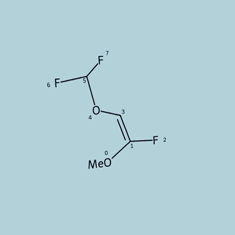 CO/C(F)=C\OC(F)F